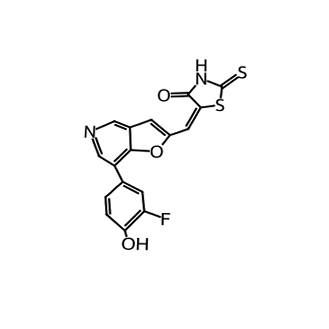 O=C1NC(=S)S/C1=C/c1cc2cncc(-c3ccc(O)c(F)c3)c2o1